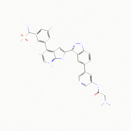 CN(C)CC(=O)Nc1cncc(-c2ccc3[nH]nc(-c4cc5c(-c6cc(F)cc(C(N)S(C)(=O)=O)c6)ccnc5[nH]4)c3c2)c1